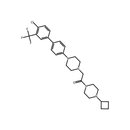 O=C(CN1CCN(c2ccc(-c3ccc(Cl)c(C(F)(F)F)c3)cc2)CC1)N1CCN(C2CCC2)CC1